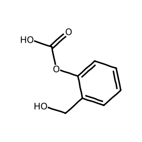 O=C(O)Oc1ccccc1CO